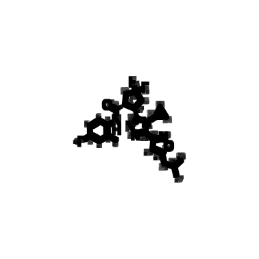 Cc1cc(F)ccc1NC(=O)[C@@H]1CC(F)(F)C[C@H]1c1nnc(-c2cc(CC(C)C)on2)n1C1CC1